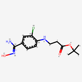 CC(C)(C)OC(=O)CCNc1ccc(/C(N)=N/O)cc1Cl